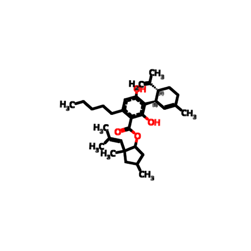 C=C(C)[C@@H]1CCC(C)=C[C@H]1c1c(O)cc(CCCCC)c(C(=O)OC2CC(C)CC2(C)C=C(C)C)c1O